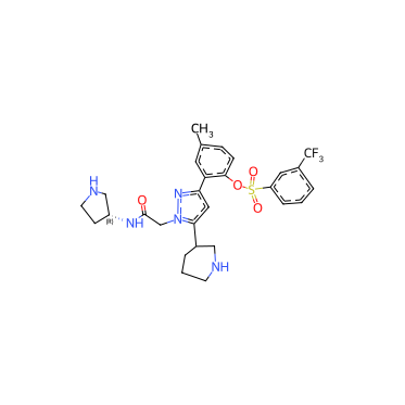 Cc1ccc(OS(=O)(=O)c2cccc(C(F)(F)F)c2)c(-c2cc(C3CCCNC3)n(CC(=O)N[C@@H]3CCNC3)n2)c1